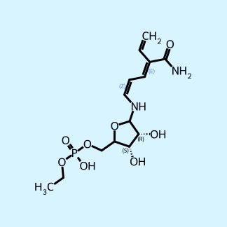 C=C/C(=C\C=C/NC1OC(COP(=O)(O)OCC)[C@@H](O)[C@H]1O)C(N)=O